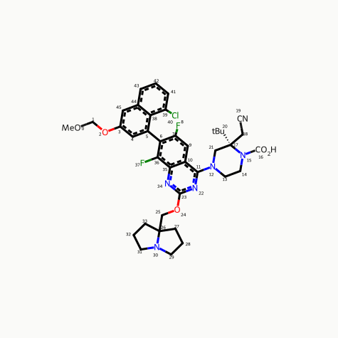 COCOc1cc(-c2c(F)cc3c(N4CCN(C(=O)O)[C@@](CC#N)(C(C)(C)C)C4)nc(OCC45CCCN4CCC5)nc3c2F)c2c(Cl)cccc2c1